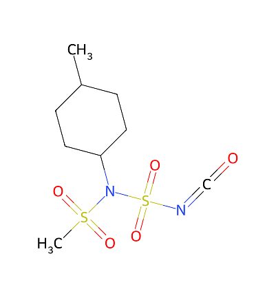 CC1CCC(N(S(C)(=O)=O)S(=O)(=O)N=C=O)CC1